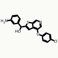 Nc1cccc(C(O)c2cc3c(Oc4ccc(Cl)cc4)cncc3s2)c1